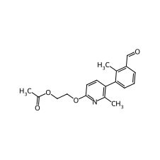 CC(=O)OCCOc1ccc(-c2cccc(C=O)c2C)c(C)n1